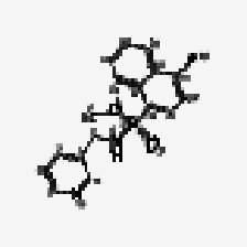 CCOP(=O)(NCc1cccnc1)c1ccc(F)c2ccccc12